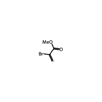 [CH]=C(Br)C(=O)OC